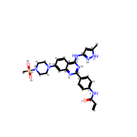 C=CC(=O)Nc1ccc(-c2nc(Nc3cc(C)[nH]n3)c3ccc(N4CCN(S(C)(=O)=O)CC4)cc3n2)cc1